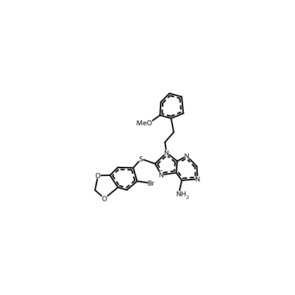 COc1ccccc1CCn1c(Sc2cc3c(cc2Br)OCO3)nc2c(N)ncnc21